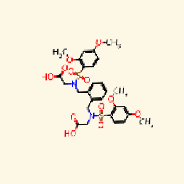 COc1ccc(S(=O)(=O)N(CC(=O)O)Cc2ccccc2CN(CC(=O)O)S(=O)(=O)c2ccc(OC)cc2OC)c(OC)c1